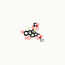 CCC(=O)OC1C(C)C[C@H]2[C@@H]3C(C(=S)O[C@H]4CCOC4=O)C(F)C4=CC(=O)C=C[C@]4(C)[C@]3(F)C(O)C[C@]12C